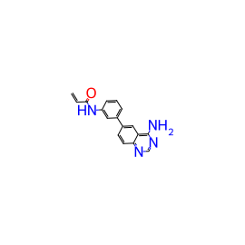 C=CC(=O)Nc1cccc(-c2ccc3ncnc(N)c3c2)c1